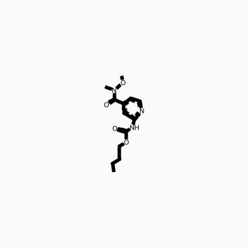 CCCCOC(=O)Nc1cc(C(=O)N(C)OC)ccn1